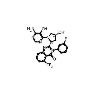 N#Cc1c(N)ncnc1N1C[C@@H](O)C[C@H]1c1nc2cccc(C(F)(F)F)c2c(=O)n1-c1cccc(F)c1